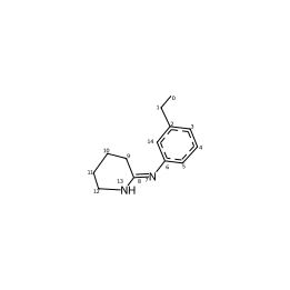 CCc1cccc(N=C2CCCCN2)c1